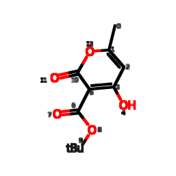 Cc1cc(O)c(C(=O)OC(C)(C)C)c(=O)o1